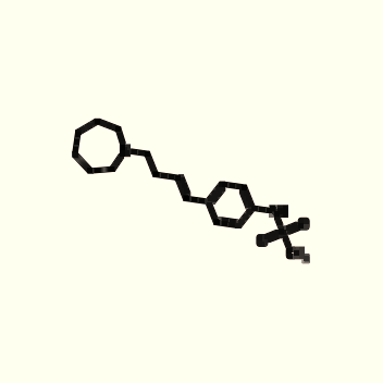 CS(=O)(=O)Nc1ccc(C=CCCN2CCCCCC2)cc1